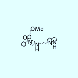 COCCCOC(=O)C(c1ccccc1)N1CCC(NCCCCc2ccc3c(n2)NCCC3)CC1